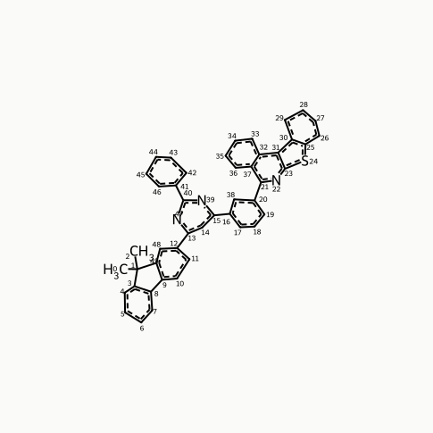 CC1(C)c2ccccc2-c2ccc(-c3cc(-c4cccc(-c5nc6sc7ccccc7c6c6ccccc56)c4)nc(-c4ccccc4)n3)cc21